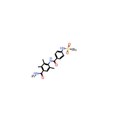 Cc1cc(C(=O)NC(C)C)c(C)c(C)c1NC(=O)c1ccc(NS(=O)(=O)C(C)(C)C)cc1